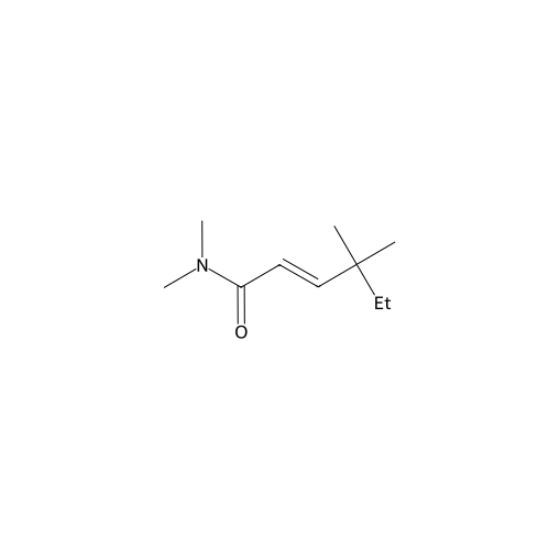 CCC(C)(C)/C=C/C(=O)N(C)C